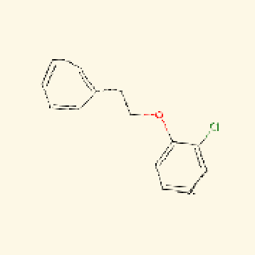 Clc1c[c]ccc1OCCc1ccccc1